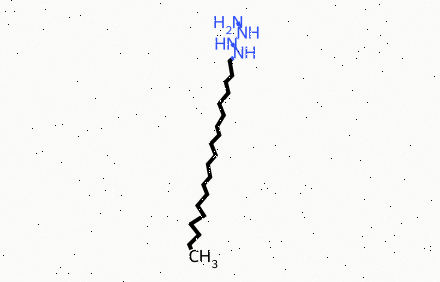 CCCCCCCCCCCCCCCCCCCCNNNN